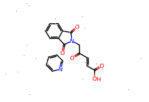 O=C(O)C=CC(=O)CN1C(=O)c2ccccc2C1=O.c1ccncc1